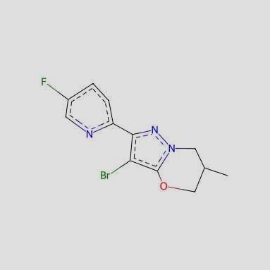 CC1COc2c(Br)c(-c3ccc(F)cn3)nn2C1